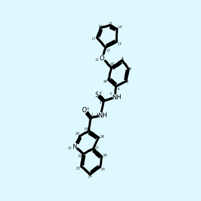 O=C(NC(=S)Nc1cccc(Oc2ccccc2)c1)c1cnc2ccccc2c1